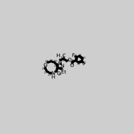 CCc1nn(C[C@@H](C)COC(=O)c2cc(F)ccc2F)c2c1C(=O)NCCCOCCC2